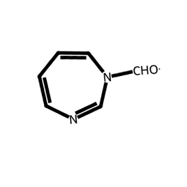 O=[C]N1C=CC=CN=C1